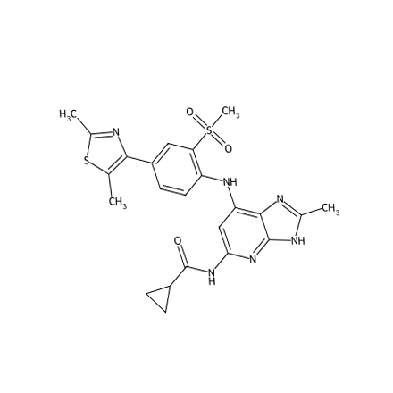 Cc1nc2c(Nc3ccc(-c4nc(C)sc4C)cc3S(C)(=O)=O)cc(NC(=O)C3CC3)nc2[nH]1